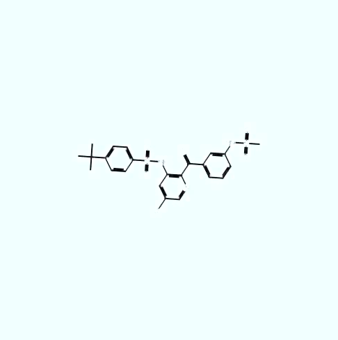 CC(C)(C)c1ccc(S(=O)(=O)Nc2cc(Cl)cnc2C(=O)c2cccc(NS(C)(=O)=O)c2)cc1